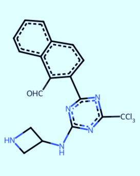 O=Cc1c(-c2nc(NC3CNC3)nc(C(Cl)(Cl)Cl)n2)ccc2ccccc12